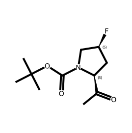 CC(=O)[C@@H]1C[C@H](F)CN1C(=O)OC(C)(C)C